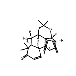 C=C1C(=O)[C@@]23[C@@H]4OC(C)(C)O[C@]25OC[C@]2(C=CC(=O)C(C)(C)[C@H]2[C@@H]5O)[C@@H]3CC[C@@H]14